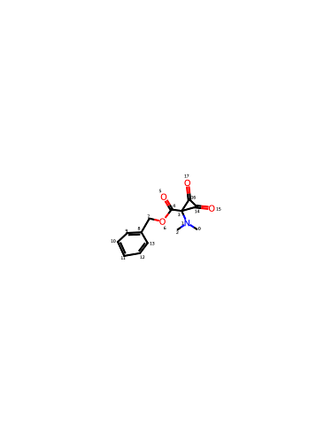 CN(C)C1(C(=O)OCc2ccccc2)C(=O)C1=O